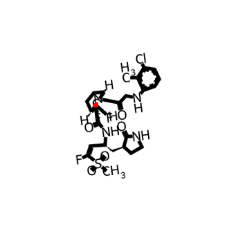 Cc1c(Cl)cccc1NCC(=O)N1[C@@H]2CC[C@H]([C@@H]1C(=O)N[C@@H](/C=C(/F)S(C)(=O)=O)C[C@@H]1CCNC1=O)C(F)(F)C2